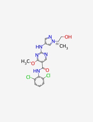 COc1nc(Nc2cnn([C@@H](C)CO)c2)ncc1C(=O)Nc1c(Cl)cccc1Cl